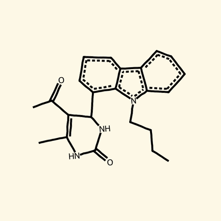 CCCCn1c2ccccc2c2cccc(C3NC(=O)NC(C)=C3C(C)=O)c21